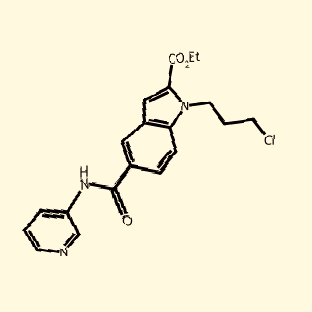 CCOC(=O)c1cc2cc(C(=O)Nc3cccnc3)ccc2n1CCCCl